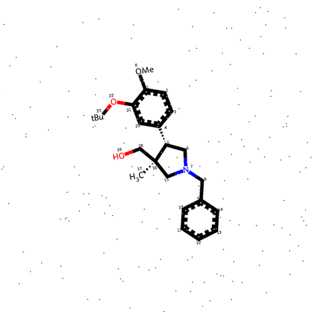 COc1ccc([C@@H]2CN(Cc3ccccc3)C[C@@]2(C)CO)cc1OC(C)(C)C